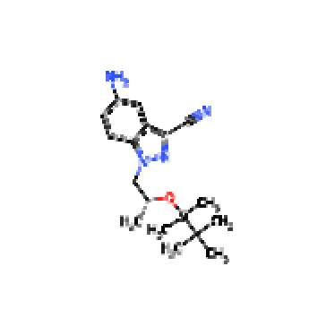 C[C@H](Cn1nc(C#N)c2cc(N)ccc21)O[Si](C)(C)C(C)(C)C